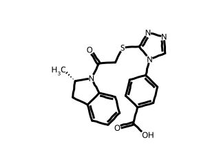 C[C@H]1Cc2ccccc2N1C(=O)CSc1nncn1-c1ccc(C(=O)O)cc1